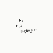 O.[BH4-].[BH4-].[Na+].[Na+]